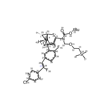 C[C@H]1[C@@H]2[C@@]1(C(N)=O)SC(N(COCC[Si](C)(C)C)C(=O)OC(C)(C)C)=N[C@]2(C)c1cc(/C=C(\F)c2cnc(Cl)cn2)ccc1F